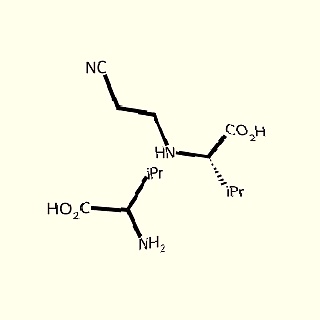 CC(C)C(N)C(=O)O.CC(C)[C@H](NCCC#N)C(=O)O